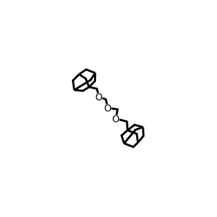 C(OCOCC12CC3CC(CC(C3)C1)C2)OCC12CC3CC(CC(C3)C1)C2